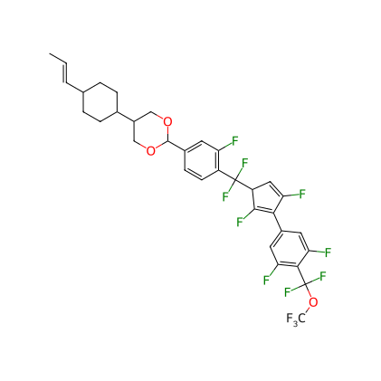 C/C=C/C1CCC(C2COC(c3ccc(C(F)(F)C4C=C(F)C(c5cc(F)c(C(F)(F)OC(F)(F)F)c(F)c5)=C4F)c(F)c3)OC2)CC1